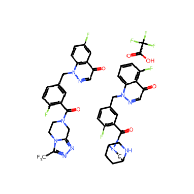 O=C(O)C(F)(F)F.O=C(c1cc(Cn2ncc(=O)c3c(F)cccc32)ccc1F)N1CC2CCC1CN2.O=C(c1cc(Cn2ncc(=O)c3cc(F)ccc32)ccc1F)N1CCn2c(nnc2C(F)(F)F)C1